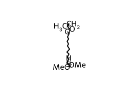 C=C(C)C(=O)OCCCCCCCCCCCC[SiH](OC)OC